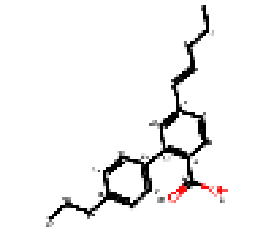 CCCC=Cc1ccc(C(=O)O)c(-c2ccc(CCC)cc2)c1